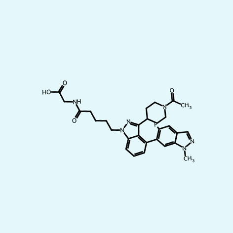 CC(=O)N1CCC(c2nn(CCCCC(=O)NCC(=O)O)c3cccc(-c4cc5c(cnn5C)cc4F)c23)CC1